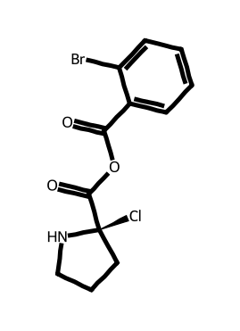 O=C(OC(=O)[C@]1(Cl)CCCN1)c1ccccc1Br